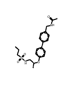 CCCS(=O)(=O)NCC(C)Oc1ccc(-c2ccc(CNC(C)=O)cc2)cc1